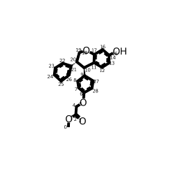 COC(=O)COc1ccc([C@@H]2c3ccc(O)cc3OC[C@H]2c2ccccc2)cc1